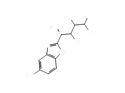 O=C(O)C(O)C(O)C(O)[C@H](O)c1nc2cc(C(F)(F)F)ccc2[nH]1